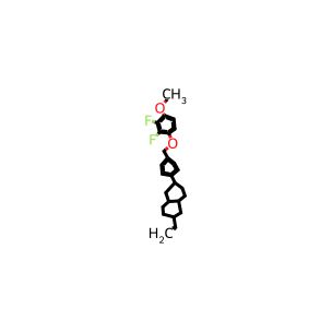 C=CC1CCC2CC(c3ccc(COc4ccc(OCC)c(F)c4F)cc3)CCC2C1